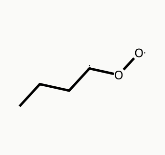 CCC[CH]O[O]